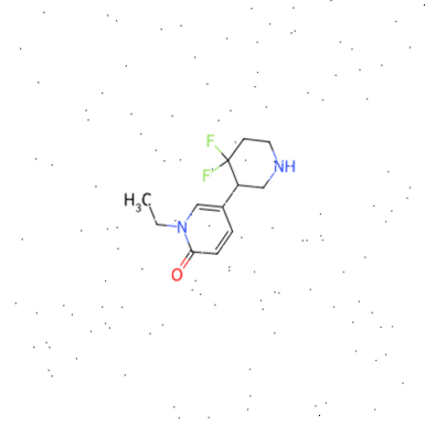 CCn1cc(C2CNCCC2(F)F)ccc1=O